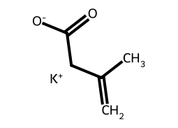 C=C(C)CC(=O)[O-].[K+]